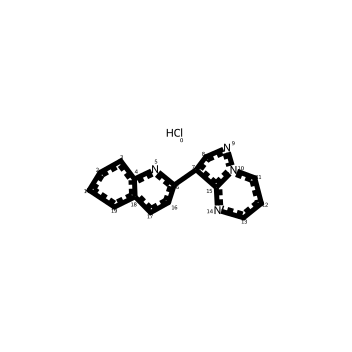 Cl.c1ccc2nc(-c3cnn4cccnc34)ccc2c1